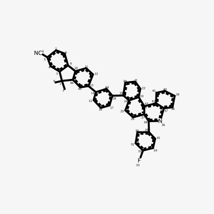 CC1(C)c2cc(C#N)ccc2-c2ccc(-c3cccc(-c4cccc5c4ccc4c(-c6ccc(F)cc6)nc6ccccc6c45)c3)cc21